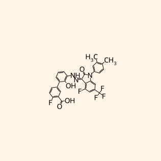 Cc1ccc(N2C(=O)/C(=N\Nc3cccc(-c4ccc(F)c(C(=O)O)c4)c3O)c3c(F)cc(C(F)(F)F)cc32)cc1C